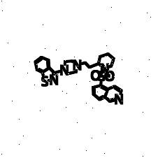 O=S(=O)(c1cccc2cnccc12)N1CCCCC1CCN1CCN(c2nsc3ccccc23)CC1